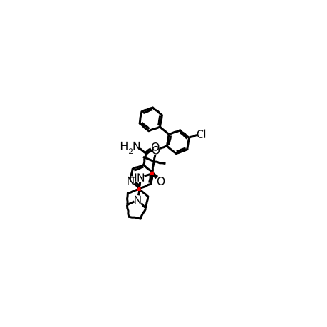 CC(C)(Oc1ccc(Cl)cc1-c1ccccc1)C(=O)NC1CC2CCC(C1)N2c1ccc(C(N)=O)cn1